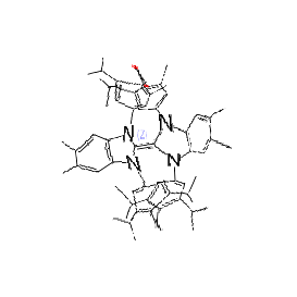 Cc1cc2c(cc1C)N(c1cc(C(C)C)c(C)c(C(C)C)c1)/C(=C1/N(c3cc(C)c(C)c(C(C)C)c3)c3cc(C)c(C)cc3N1c1cc(C(C)C)c(C)c(C(C)C)c1)N2c1cc(C)c(C)c(C(C)C)c1